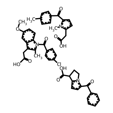 COc1ccc2c(c1)c(CC(=O)O)c(C)n2C(=O)c1ccc(Cl)cc1.Cc1ccc(C(=O)c2ccc(CC(=O)O)n2C)cc1.O=C(c1ccccc1)c1ccc2n1CCC2C(=O)O